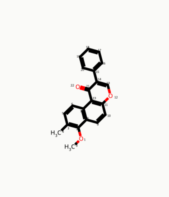 COc1c(C)ccc2c1ccc1occ(-c3ccccc3)c(=O)c12